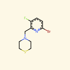 Fc1ccc(Br)nc1CN1CCSCC1